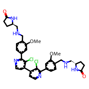 COc1cc(-c2nccc(-c3ccnc(-c4ccc(CNC[C@@H]5CCC(=O)N5)c(OC)c4)c3Cl)c2Cl)ccc1CNC[C@H]1CCC(=O)N1